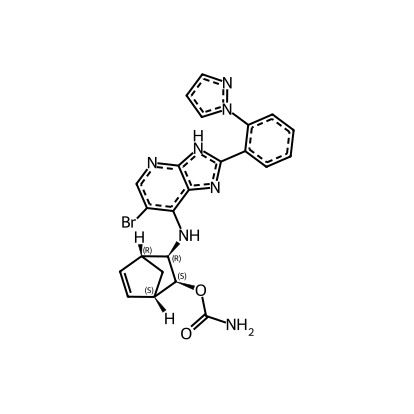 NC(=O)O[C@@H]1[C@H](Nc2c(Br)cnc3[nH]c(-c4ccccc4-n4cccn4)nc23)[C@H]2C=C[C@@H]1C2